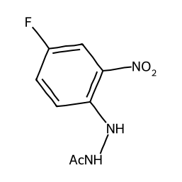 CC(=O)NNc1ccc(F)cc1[N+](=O)[O-]